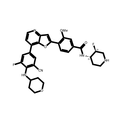 COc1cc(C(=O)N[C@H]2CCNC[C@@H]2F)ccc1-c1cc2nccc(-c3cc(F)c(NC4CCOCC4)c(C#N)c3)c2o1